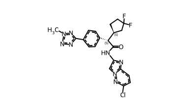 Cn1nnc(-c2ccc([C@@H](C(=O)Nc3cn4nc(Cl)ccc4n3)[C@H]3CCC(F)(F)C3)cc2)n1